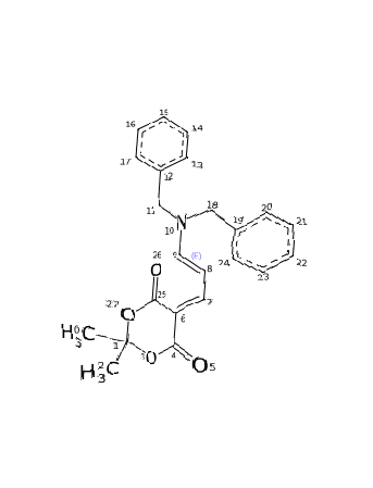 CC1(C)OC(=O)C(=C/C=C/N(Cc2ccccc2)Cc2ccccc2)C(=O)O1